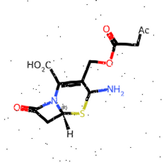 CC(=O)CC(=O)OCC1=C(C(=O)O)N2C(=O)C[C@H]2SC1N